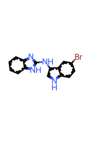 Brc1ccc2[nH]cc(Nc3nc4ccccc4[nH]3)c2c1